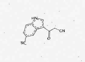 N#CCC(=O)c1c[nH]c2ccc(C#N)cc12